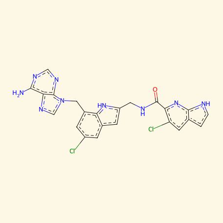 Nc1ncnc2c1ncn2Cc1cc(Cl)cc2cc(CNC(=O)c3nc4[nH]ccc4cc3Cl)[nH]c12